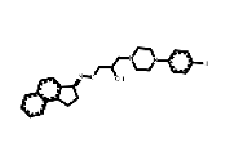 OC(CO/N=C1\CCc2c1ccc1ccccc21)CN1CCN(c2ccc(Cl)cc2)CC1